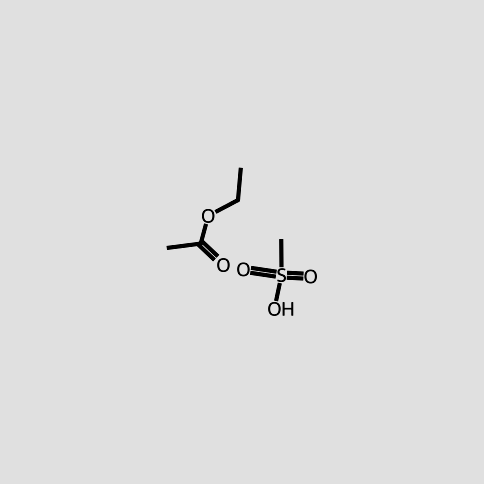 CCOC(C)=O.CS(=O)(=O)O